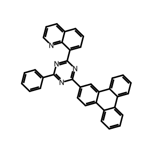 c1ccc(-c2nc(-c3ccc4c5ccccc5c5ccccc5c4c3)nc(-c3cccc4cccnc34)n2)cc1